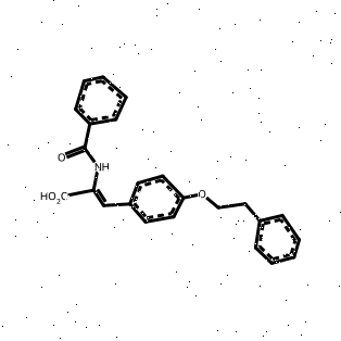 O=C(O)C(=Cc1ccc(OCCc2ccccc2)cc1)NC(=O)c1ccccc1